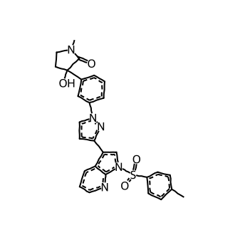 Cc1ccc(S(=O)(=O)n2cc(-c3ccn(-c4cccc(C5(O)CCN(C)C5=O)c4)n3)c3cccnc32)cc1